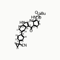 CCC(C)S(=O)(=O)Nc1cccc(C(=O)c2c[nH]c3ncc(-c4ccc(C5(C#N)CC5)cc4)cc23)c1F